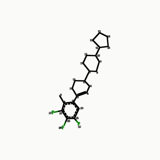 Cc1c(C2=CCC(C3CCC(C4CCCC4)CC3)CC2)cc(F)c(F)c1F